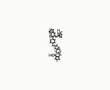 O=C(c1ccc(CN2CCC3(CCN(Cc4sccc4CO)CC3)C2)cc1)N(Cc1ncc[nH]1)Cc1ncc[nH]1